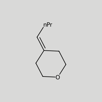 CCCC=C1CCOCC1